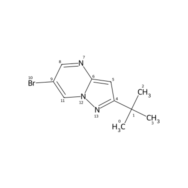 CC(C)(C)c1cc2ncc(Br)cn2n1